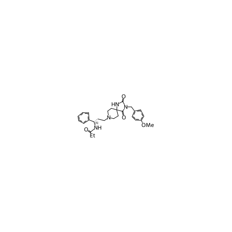 CCC(=O)N[C@@H](CCN1CCC2(CC1)NC(=O)N(Cc1ccc(OC)cc1)C2=O)c1ccccc1